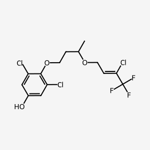 CC(CCOc1c(Cl)cc(O)cc1Cl)OC/C=C(\Cl)C(F)(F)F